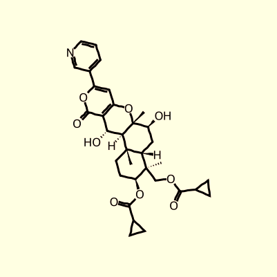 C[C@]12CC[C@H](OC(=O)C3CC3)[C@](C)(COC(=O)C3CC3)[C@H]1C[C@H](O)[C@@]1(C)Oc3cc(-c4cccnc4)oc(=O)c3[C@@H](O)[C@H]21